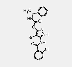 C[C@@H](NC(=O)Oc1n[nH]c(NC(=O)c2ccccc2Cl)c1Br)c1ccccc1